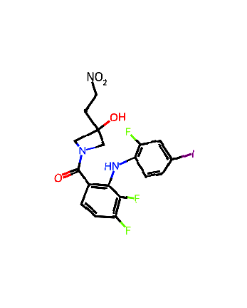 O=C(c1ccc(F)c(F)c1Nc1ccc(I)cc1F)N1CC(O)(CC[N+](=O)[O-])C1